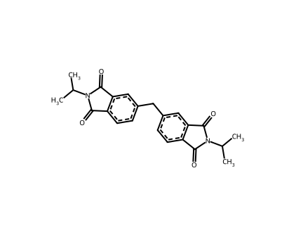 CC(C)N1C(=O)c2ccc(Cc3ccc4c(c3)C(=O)N(C(C)C)C4=O)cc2C1=O